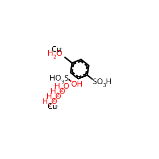 Cc1ccc(S(=O)(=O)O)cc1.O.O.O.O.O.O=S(=O)(O)O.[Cu].[Cu]